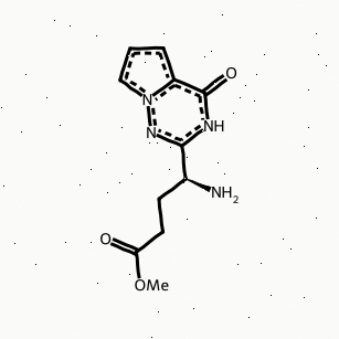 COC(=O)CC[C@H](N)c1nn2cccc2c(=O)[nH]1